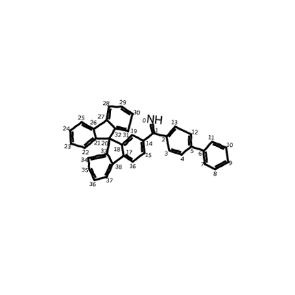 N=C(c1ccc(-c2ccccc2)cc1)c1ccc2c(c1)C1(c3ccccc3-c3ccccc31)c1ccccc1-2